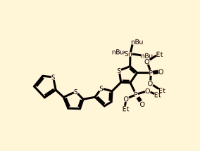 CCC[CH2][Sn]([CH2]CCC)([CH2]CCC)[c]1sc(-c2ccc(-c3ccc(-c4cccs4)s3)s2)c(P(=O)(OCC)OCC)c1P(=O)(OCC)OCC